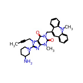 CC#CCn1c(N2CCCC(N)C2)nc2c1c(=O)n(CC1=Cc3ccccc3N(C)c3ccccc31)c(=O)n2C